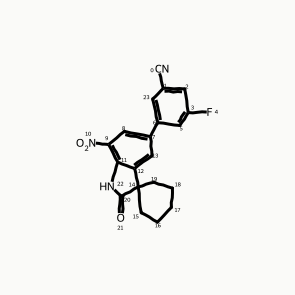 N#Cc1cc(F)cc(-c2cc([N+](=O)[O-])c3c(c2)C2(CCCCC2)C(=O)N3)c1